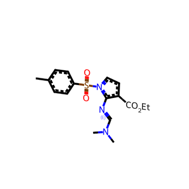 CCOC(=O)c1ccn(S(=O)(=O)c2ccc(C)cc2)c1/N=C/N(C)C